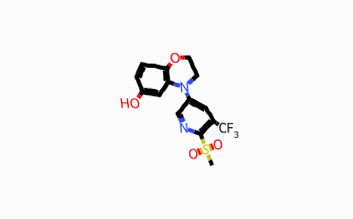 CS(=O)(=O)c1ncc(N2CCOc3ccc(O)cc32)cc1C(F)(F)F